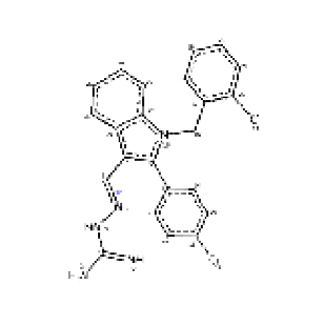 N=C(N)N/N=C/c1c(-c2ccc(Cl)cc2)n(Cc2ccccc2Cl)c2ccccc12